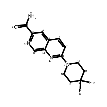 NC(=O)c1cc2ccc(N3CCC(F)(F)CC3)nc2cn1